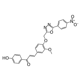 COc1cc(/C=C/C(=O)c2ccc(O)cc2)ccc1OCc1nnc(-c2ccc([N+](=O)[O-])cc2)o1